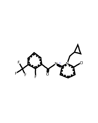 O=C(/N=c1\cccc(Cl)n1CC1CC1)c1cccc(C(F)(F)F)c1F